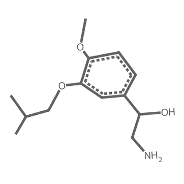 COc1ccc(C(O)CN)cc1OCC(C)C